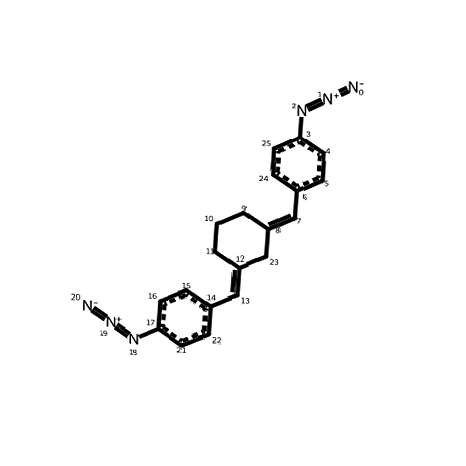 [N-]=[N+]=Nc1ccc(C=C2CCCC(=Cc3ccc(N=[N+]=[N-])cc3)C2)cc1